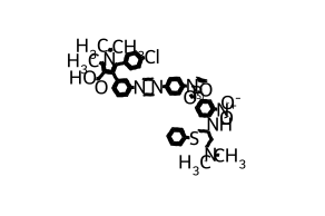 Cc1c(C(=O)O)c(-c2cccc(N3CCN(c4ccc(N5C=CO[P@@]5(=O)c5ccc(NC(CCN(C)C)CSc6ccccc6)c([N+](=O)[O-])c5)cc4)CC3)c2)c(-c2ccc(Cl)cc2)n1C(C)C